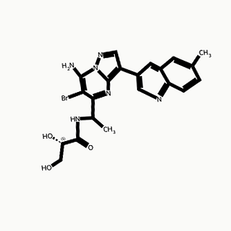 Cc1ccc2ncc(-c3cnn4c(N)c(Br)c(C(C)NC(=O)[C@@H](O)CO)nc34)cc2c1